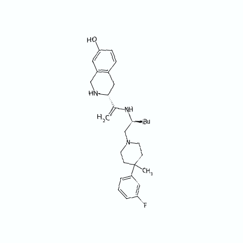 C=C(N[C@H](CN1CCC(C)(c2cccc(F)c2)CC1)C(C)CC)[C@H]1Cc2ccc(O)cc2CN1